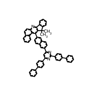 CC1(C)c2ccccc2-c2nc3ccc4ccccc4c3c(-c3ccc4cc(-c5cc(-c6ccc(-c7ccccc7)cc6)nc(-c6ccc(-c7ccccc7)cc6)n5)ccc4c3)c21